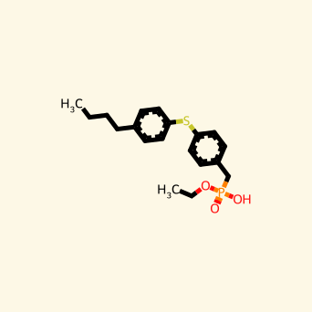 CCCCc1ccc(Sc2ccc(CP(=O)(O)OCC)cc2)cc1